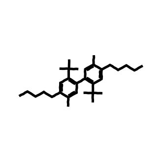 CCCCCc1cc(C(C)(C)C)c(-c2cc(C)c(CCCCC)cc2C(C)(C)C)cc1C